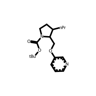 CCCC1CCN(C(=O)OC(C)(C)C)C1COc1cccnc1